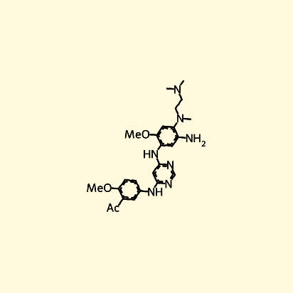 COc1cc(N(C)CCN(C)C)c(N)cc1Nc1cc(Nc2ccc(OC)c(C(C)=O)c2)ncn1